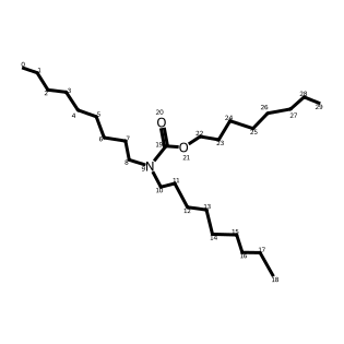 CCCCCCCCCN(CCCCCCCCC)C(=O)OCCCCCCCC